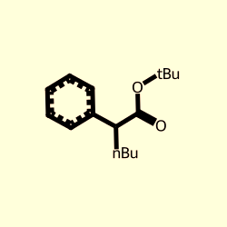 CCCCC(C(=O)OC(C)(C)C)c1ccccc1